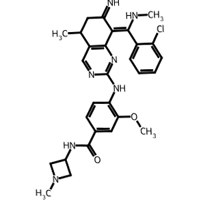 CN/C(=C1\C(=N)CC(C)c2cnc(Nc3ccc(C(=O)NC4CN(C)C4)cc3OC)nc21)c1ccccc1Cl